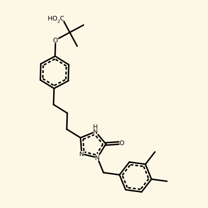 Cc1ccc(Cn2nc(CCCc3ccc(OC(C)(C)C(=O)O)cc3)[nH]c2=O)cc1C